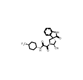 N#C[C@@H]1C[C@@]2(CN1C(=O)C(=O)N[C@H]1CC[C@H](C(F)(F)F)CC1)C(=O)Nc1ccccc12